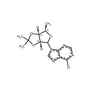 C[C@H]1OC(n2cnc3c(Cl)ncnc32)[C@@H]2OC(C)(C)O[C@H]12